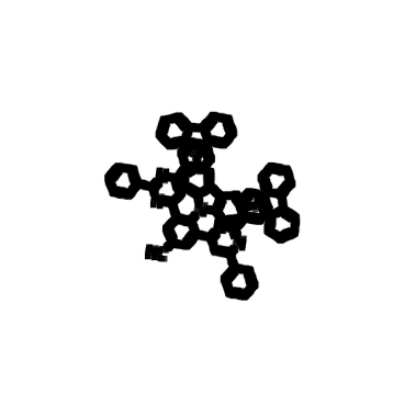 N#Cc1cc(-c2cc(-c3ccccc3)nc(-c3ccccc3)n2)c(-n2c3ccc(-n4c5ccccc5c5ccccc54)cc3c3cc(-n4c5ccccc5c5ccccc54)ccc32)c(-c2cc(-c3ccccc3)nc(-c3ccccc3)n2)c1